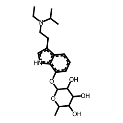 CCN(CCc1c[nH]c2c(OC3OC(C)C(O)C(O)C3O)cccc12)C(C)C